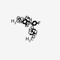 CO[C@@H]1CO[C@H]2[C@@H]1OC[C@H]2Oc1cc(F)ccc1Nc1ncnc2cc(N=S(C)(C)=O)cc(Br)c12